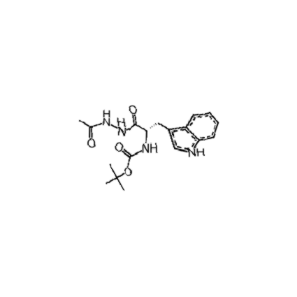 CC(=O)NNC(=O)[C@H](Cc1c[nH]c2ccccc12)NC(=O)OC(C)(C)C